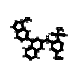 CNc1ccc(S(C)(=O)=O)c(Nc2cc(-c3ccc4ccn(C)c4c3)c3nccnc3c2)c1